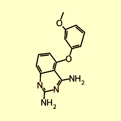 COc1cccc(Oc2cccc3nc(N)nc(N)c23)c1